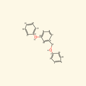 c1ccc(OCc2cccc(Oc3ccccc3)c2)cc1